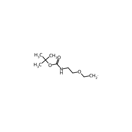 [CH2]COCCNC(=O)OC(C)(C)C